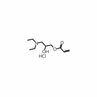 C=CC(=O)OCC(O)CN(CC)CC.Cl